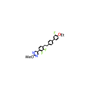 CCOc1ccc(-c2ccc(CCc3ccc(-c4cnc(OC)nc4)c(F)c3F)cc2)cc1F